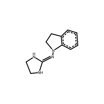 c1ccc2c(c1)CCN2N=C1NCCN1